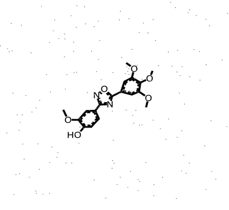 COc1cc(-c2noc(-c3cc(OC)c(OC)c(OC)c3)n2)ccc1O